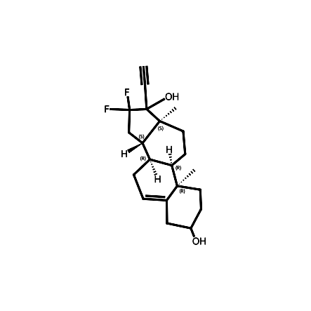 C#CC1(O)C(F)(F)C[C@H]2[C@@H]3CC=C4CC(O)CC[C@]4(C)[C@@H]3CC[C@@]21C